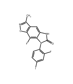 Cc1noc2c(F)c3c(cc12)[nH]c(=O)n3-c1ccc(I)cc1F